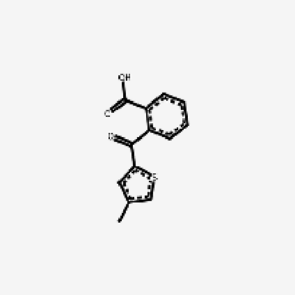 Cc1csc(C(=O)c2ccccc2C(=O)O)c1